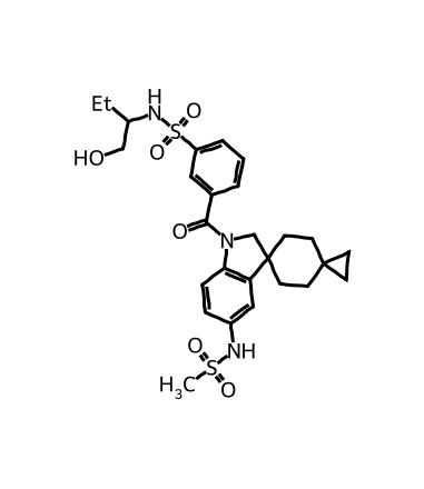 CCC(CO)NS(=O)(=O)c1cccc(C(=O)N2CC3(CCC4(CC4)CC3)c3cc(NS(C)(=O)=O)ccc32)c1